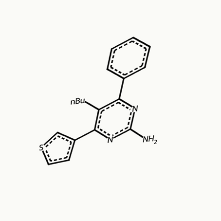 CCCCc1c(-c2ccccc2)nc(N)nc1-c1ccsc1